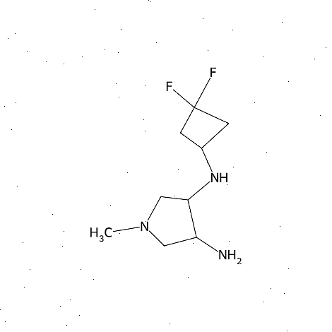 CN1CC(N)C(NC2CC(F)(F)C2)C1